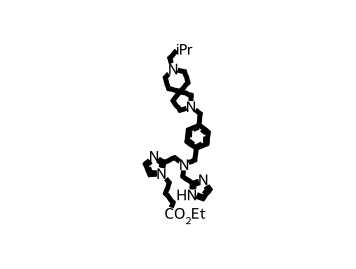 CCOC(=O)CCCn1ccnc1CN(Cc1ccc(CN2CCC3(CCN(CC(C)C)CC3)C2)cc1)Cc1ncc[nH]1